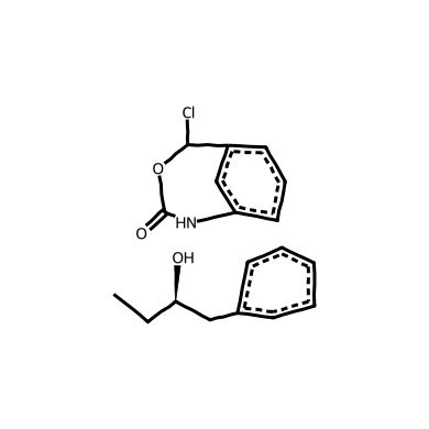 CC[C@@H](O)Cc1ccccc1.O=C1Nc2cccc(c2)C(Cl)O1